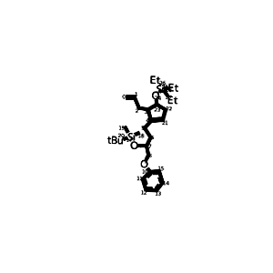 C=CCC1C(CCC(COc2ccccc2)O[Si](C)(C)C(C)(C)C)=CCC1O[Si](CC)(CC)CC